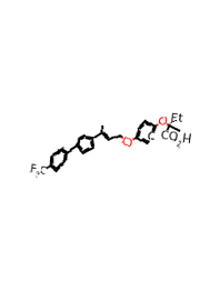 CC[C@@](C)(Oc1ccc(OC/C=C(\C)c2ccc(-c3ccc(C(F)(F)F)cc3)cc2)cc1)C(=O)O